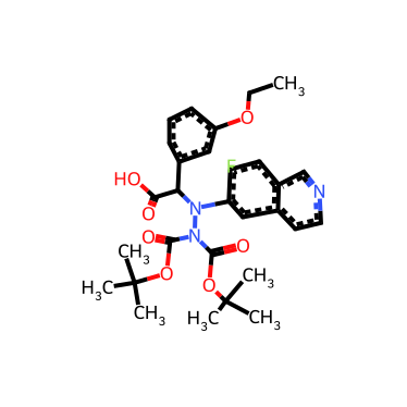 CCOc1cccc(C(C(=O)O)N(c2cc3ccncc3cc2F)N(C(=O)OC(C)(C)C)C(=O)OC(C)(C)C)c1